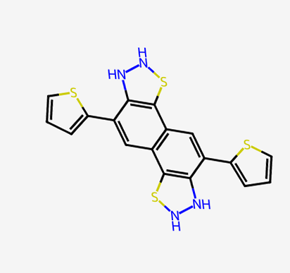 c1csc(-c2cc3c(cc(-c4cccs4)c4[nH][nH]sc43)c3s[nH][nH]c23)c1